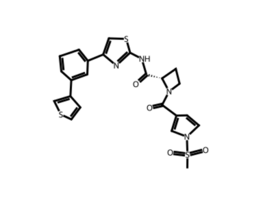 CS(=O)(=O)n1ccc(C(=O)N2CC[C@H]2C(=O)Nc2nc(-c3cccc(-c4ccsc4)c3)cs2)c1